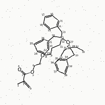 C=C(C)C(=O)OCCOCCC[Si](Cc1ccccc1)(Cc1ccccc1)O[Si](CC)(CC)Cc1ccccc1